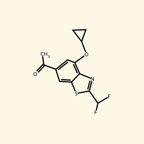 CC(=O)c1cc(OC2CC2)c2nc(C(F)F)sc2c1